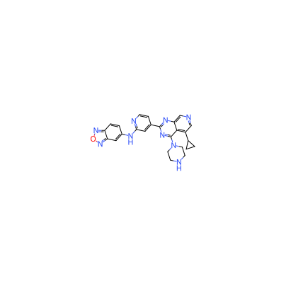 c1cc(-c2nc(N3CCNCC3)c3c(C4CC4)cncc3n2)cc(Nc2ccc3nonc3c2)n1